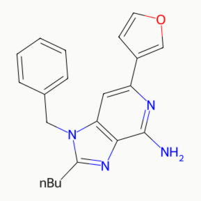 CCCCc1nc2c(N)nc(-c3ccoc3)cc2n1Cc1ccccc1